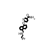 CC(C)CCNCc1cccc2c(Oc3ccc(C(N)=O)cn3)cccc12